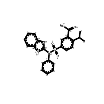 CC(C)c1ccc(S(=O)(=O)N(c2ccccc2)c2nc3ccccc3[nH]2)cc1C(=O)O